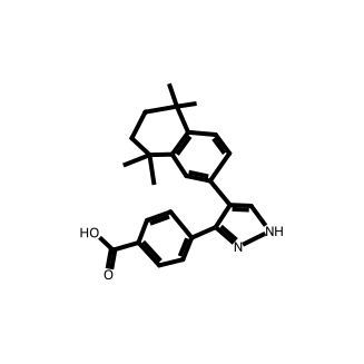 CC1(C)CCC(C)(C)c2cc(-c3c[nH]nc3-c3ccc(C(=O)O)cc3)ccc21